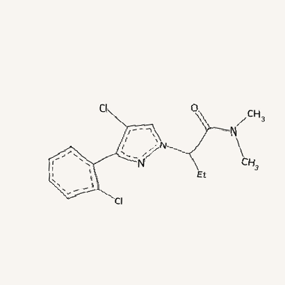 CCC(C(=O)N(C)C)n1cc(Cl)c(-c2ccccc2Cl)n1